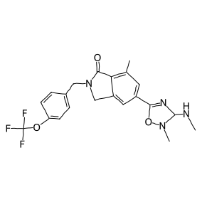 CNC1N=C(c2cc(C)c3c(c2)CN(Cc2ccc(OC(F)(F)F)cc2)C3=O)ON1C